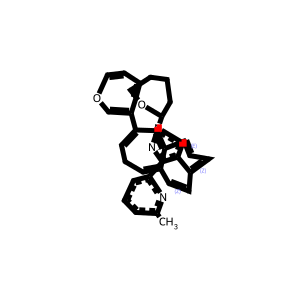 Cc1cccc(-c2nn(C3CCCCO3)cc2C2=C\C=C\C3=CC(C4=COC=CC=C4)=CCC=C3/C=C\2)n1